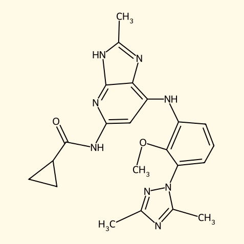 COc1c(Nc2cc(NC(=O)C3CC3)nc3[nH]c(C)nc23)cccc1-n1nc(C)nc1C